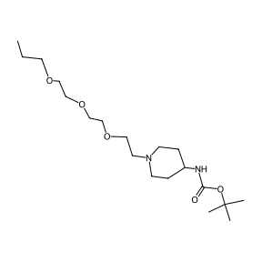 CCCOCCOCCOCCN1CCC(NC(=O)OC(C)(C)C)CC1